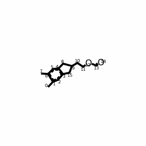 Cc1cc2c(cc1C)CC(CCOC=O)C2